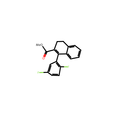 COC(=O)C1=C(c2cc(F)ccc2F)c2ccccc2CC1